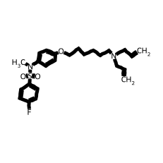 C=CCN(CC=C)CCCCCCOc1ccc(N(C)S(=O)(=O)c2ccc(F)cc2)cc1